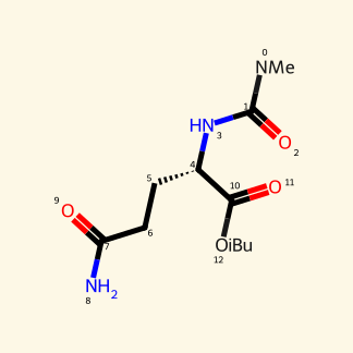 CNC(=O)N[C@@H](CCC(N)=O)C(=O)OCC(C)C